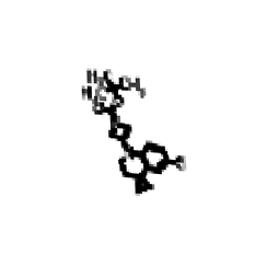 CC(C)(C)OC(=O)N1CC(N2CCC3(CC3)c3cc(Cl)ccc32)C1